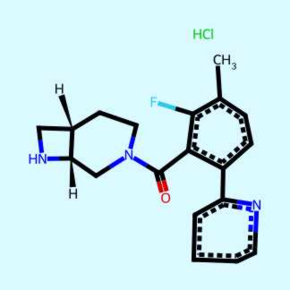 Cc1ccc(-c2ccccn2)c(C(=O)N2CC[C@H]3CN[C@H]3C2)c1F.Cl